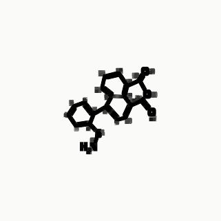 NSc1ccccc1-c1ccc2c3c(cccc13)C(=O)OC2=O